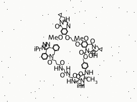 COc1cc2c(cc1OCCCOc1cc3c(cc1OC)C(=O)N1CC4(CC4)C[C@H]1C(O)N3C(=O)OCc1ccc(NC(=O)[C@H](C)NC(=O)[C@@H](NC(=O)CNC(=O)CNC(=O)CCC(=O)N3Cc4ccccc4-c4nnn(C(C)C)c4-c4ccccc43)C(C)C)cc1)N=C[C@@H]1CC3(CC3)CN1C2=O